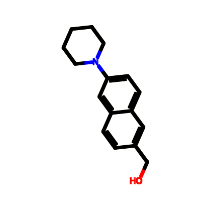 OCc1ccc2cc(N3CCCCC3)ccc2c1